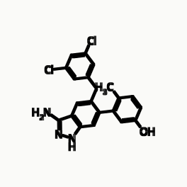 Cc1ccc(O)cc1-c1cc2[nH]nc(N)c2cc1Cc1cc(Cl)cc(Cl)c1